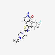 CN1CCN(c2nc3c4ccc(F)cc4c4c(=O)[nH]ccc4c3s2)CC1